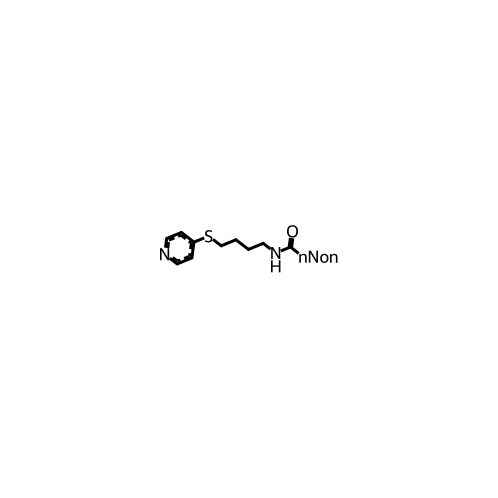 CCCCCCCCCC(=O)NCCCCSc1ccncc1